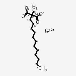 CCCCCCCCCCCCC(C)(C(=O)[O-])C(=O)[O-].[Ca+2]